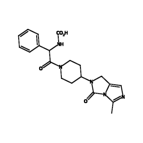 Cc1ncc2n1C(=O)N(C1CCN(C(=O)C(NC(=O)O)c3ccccc3)CC1)C2